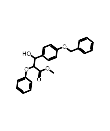 COC(=O)C(Oc1ccccc1)C(O)c1ccc(OCc2ccccc2)cc1